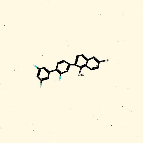 CCCc1ccc2c(C=O)c(-c3ccc(-c4cc(F)cc(F)c4)c(F)c3)ccc2c1